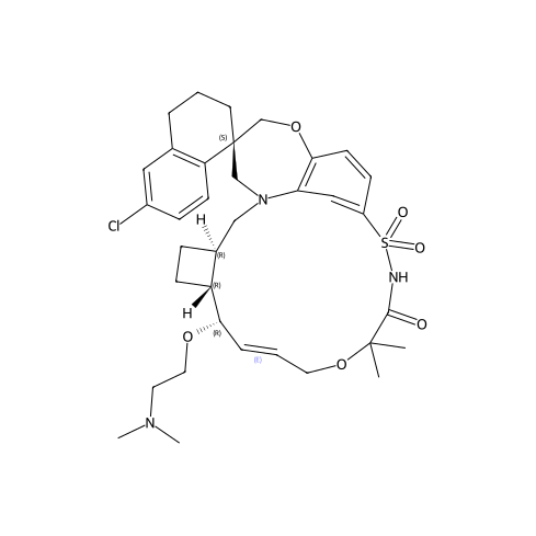 CN(C)CCO[C@H]1/C=C/COC(C)(C)C(=O)NS(=O)(=O)c2ccc3c(c2)N(C[C@@H]2CC[C@H]21)C[C@@]1(CCCc2cc(Cl)ccc21)CO3